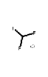 F[C](F)F.[O]